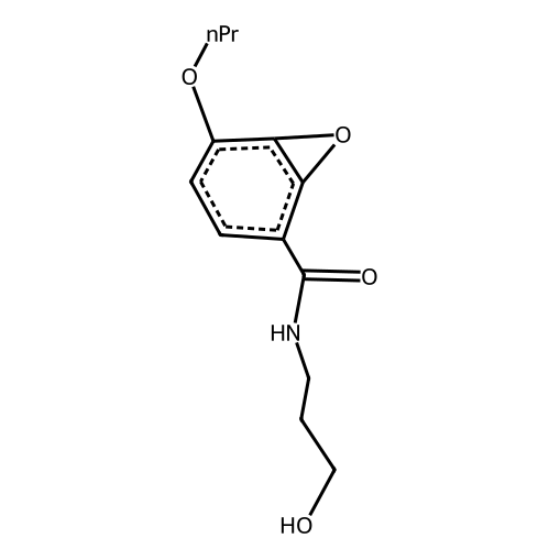 CCCOc1ccc(C(=O)NCCCO)c2c1O2